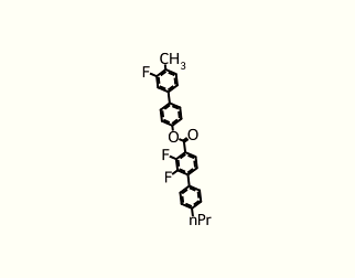 CCCc1ccc(-c2ccc(C(=O)Oc3ccc(-c4ccc(C)c(F)c4)cc3)c(F)c2F)cc1